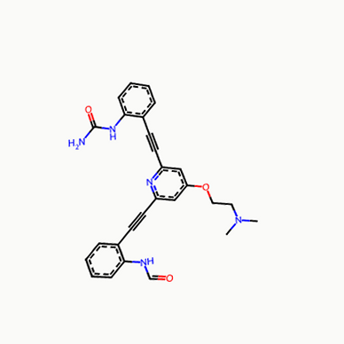 CN(C)CCOc1cc(C#Cc2ccccc2NC=O)nc(C#Cc2ccccc2NC(N)=O)c1